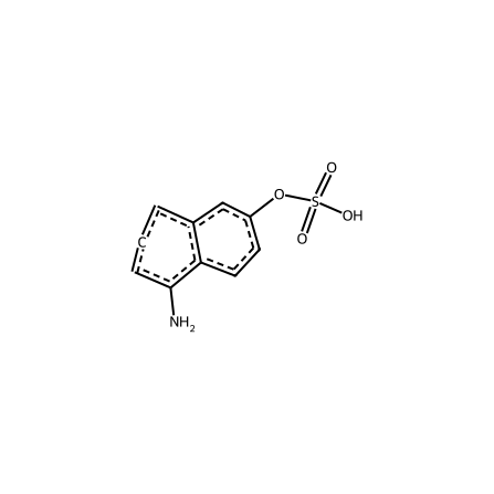 Nc1cccc2cc(OS(=O)(=O)O)ccc12